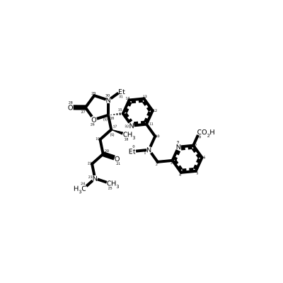 CCN(Cc1cccc(C(=O)O)n1)Cc1cccc([C@]2([C@@H](C)CC(=O)CN(C)C)OC(=O)CN2CC)n1